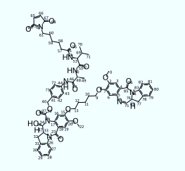 COc1cc2c(cc1OCCCCCOc1cc3c(cc1OC)C(=O)N1c4ccccc4C[C@H]1C(O)N3C(=O)OCc1ccc(NC(=O)[C@H](C)NC(=O)[C@@H](NC(=O)CCCCCN3C(=O)C=CC3=O)C(C)C)cc1)N=C[C@@H]1Cc3ccccc3N1C2=O